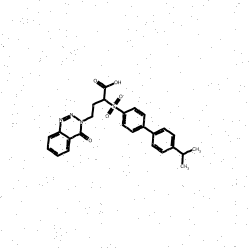 CC(C)c1ccc(-c2ccc(S(=O)(=O)C(CCn3nnc4ccccc4c3=O)C(=O)O)cc2)cc1